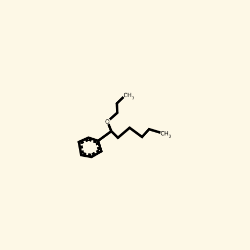 CCCCCC(OCCC)c1ccccc1